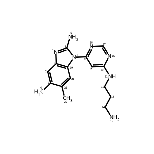 Cc1cc2nc(N)n(-c3cc(NCCCN)ncn3)c2cc1C